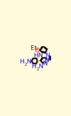 CCOc1ccccc1Nc1c2nccn2nc(N)c1[C@H]1CC[C@H](N)CC1